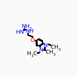 CCn1c(C)[n+](CC)c2ccc(OCCNC(=N)N)cc21